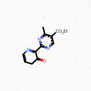 CCOC(=O)c1cnc(C2=NC=CCC2=O)nc1C